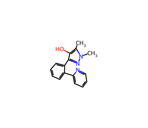 Cc1c(O)c(-c2ccccc2-c2ccccn2)nn1C